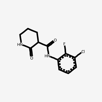 O=C1NCCCC1C(=O)Nc1cccc(Cl)c1F